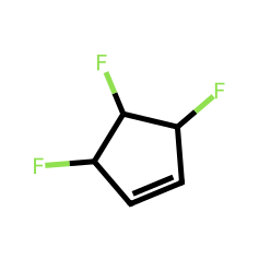 FC1C=CC(F)C1F